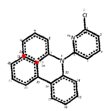 Clc1cccc(N(c2ccccn2)c2ccccc2-c2ccccc2)n1